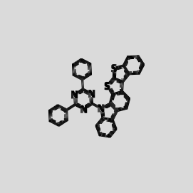 c1ccc(-c2nc(-c3ccccc3)nc(-n3c4ccccc4c4ccc5c(sc6sc7ccccc7c65)c43)n2)cc1